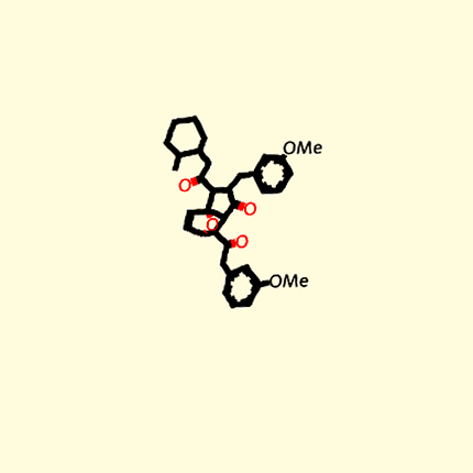 COc1cccc(CC(=O)C2C3C=CC4(O3)C(C(=O)CC3CCCCC3C)C(Cc3cccc(OC)c3)C(=O)C24)c1